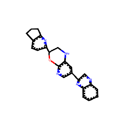 c1ccc2nc(-c3cnc4c(c3)NCC(c3ccc5c(n3)CCC5)O4)cnc2c1